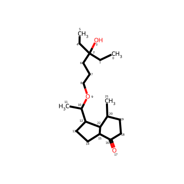 CCC(O)(CC)CCCOC(C)C1CCC2C(=O)CCC(C)C21